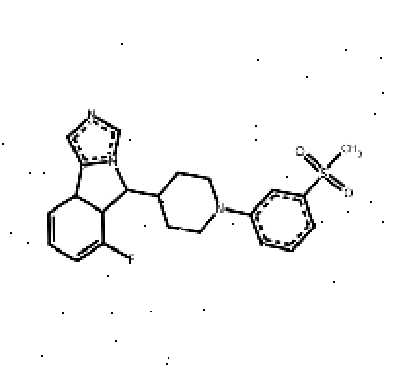 CS(=O)(=O)c1cccc(N2CCC(C3C4C(F)=CC=CC4c4cncn43)CC2)c1